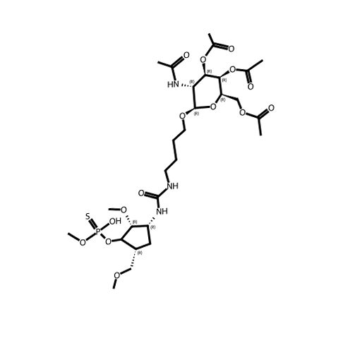 COC[C@H]1C[C@@H](NC(=O)NCCCCO[C@@H]2O[C@H](COC(C)=O)[C@H](OC(C)=O)[C@H](OC(C)=O)[C@H]2NC(C)=O)[C@@H](OC)C1OP(O)(=S)OC